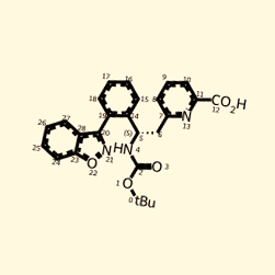 CC(C)(C)OC(=O)N[C@@H](Cc1cccc(C(=O)O)n1)c1ccccc1-c1noc2ccccc12